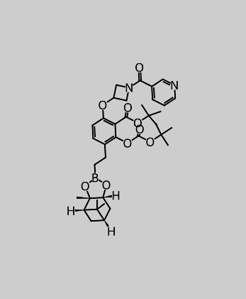 CC(C)(C)OC(=O)Oc1c(CCB2O[C@@H]3C[C@@H]4C[C@@H](C4(C)C)[C@]3(C)O2)ccc(OC2CN(C(=O)c3cccnc3)C2)c1C(=O)OC(C)(C)C